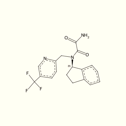 NC(=O)C(=O)N(Cc1ccc(C(F)(F)F)cn1)[C@@H]1CCc2ccccc21